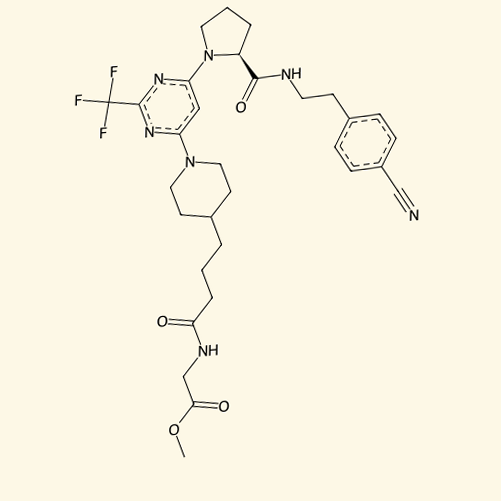 COC(=O)CNC(=O)CCCC1CCN(c2cc(N3CCC[C@H]3C(=O)NCCc3ccc(C#N)cc3)nc(C(F)(F)F)n2)CC1